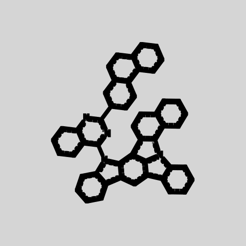 c1ccc2c(c1)ccc1cc(-c3nc(-n4c5ccccc5c5cc6c7ccccc7n7c8c9ccccc9ccc8c(c54)c67)c4ccccc4n3)ccc12